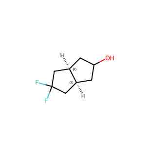 OC1C[C@@H]2CC(F)(F)C[C@@H]2C1